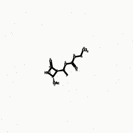 CC(=O)O[C@@H]1NC(=O)[C@H]1C(C)OC(=O)OCC(Cl)(Cl)Cl